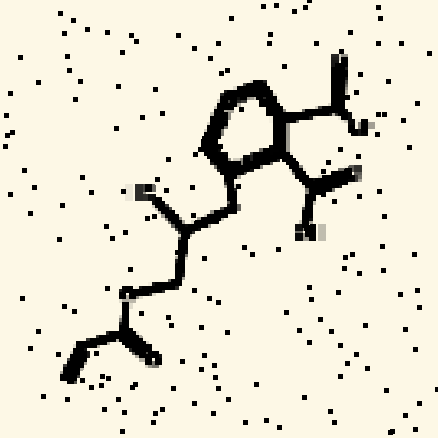 C=CC(=O)OCC(O)Cc1cccc(C(=O)O)c1C(=O)O